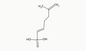 C=C(C)CCC=CP(=O)(O)O